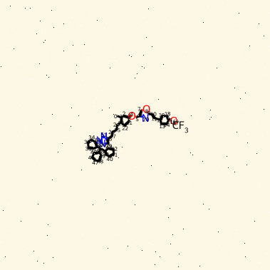 Cc1cc(OCc2coc(C=Cc3ccc(OC(F)(F)F)cc3)n2)ccc1CCCCc1cn(C(c2ccccc2)(c2ccccc2)c2ccccc2)nn1